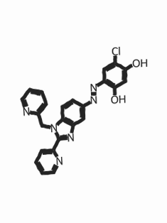 Oc1cc(O)c(/N=N/c2ccc3c(c2)nc(-c2ccccn2)n3Cc2ccccn2)cc1Cl